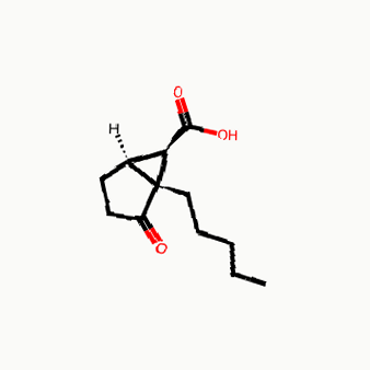 CCCCC[C@@]12C(=O)CC[C@H]1[C@H]2C(=O)O